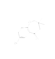 CC1(C)COc2ccc(Br)cc2C(=O)C1